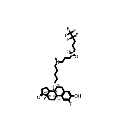 CN(CCCCC[C@@H]1Cc2cc(O)c(F)cc2[C@H]2CC[C@]3(C)C(=O)CC[C@H]3[C@H]12)CCCS(=O)(=O)CCCC(F)(F)C(F)(F)F